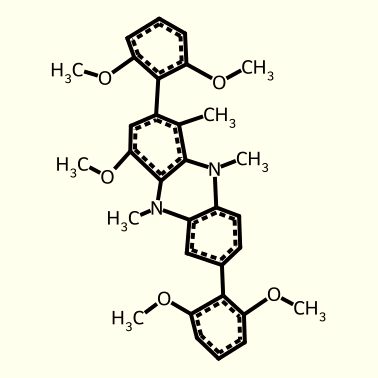 COc1cccc(OC)c1-c1ccc2c(c1)N(C)c1c(OC)cc(-c3c(OC)cccc3OC)c(C)c1N2C